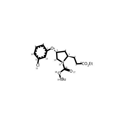 CCOC(=O)CC[C@@H]1C[C@@H](Oc2cccc(Cl)c2)CN1C(=O)OC(C)(C)C